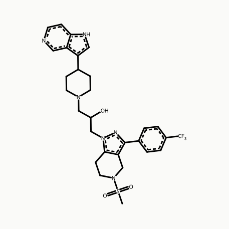 CS(=O)(=O)N1CCc2c(c(-c3ccc(C(F)(F)F)cc3)nn2CC(O)CN2CCC(c3c[nH]c4ccncc34)CC2)C1